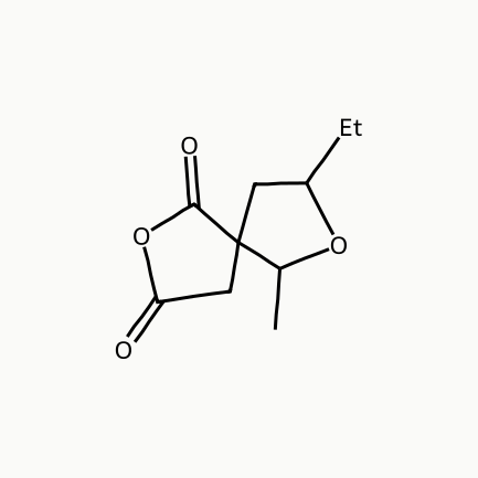 CCC1CC2(CC(=O)OC2=O)C(C)O1